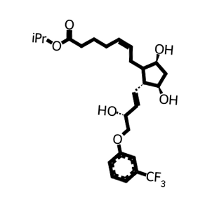 CC(C)OC(=O)CCC/C=C\CC1[C@@H](/C=C/[C@@H](O)COc2cccc(C(F)(F)F)c2)[C@H](O)C[C@@H]1O